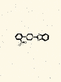 O=[N+]([O-])c1ccccc1N1CCN(c2nc3ccccc3s2)CC1